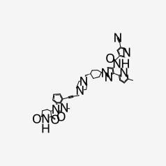 Cc1ccc(-c2nn([C@H]3CC[C@H](CN4CCN(CC#Cc5cccc6c5n(C)c(=O)n6C5CCC(=O)NC5=O)CC4)CC3)cc2NC(=O)c2cncc(C#N)c2)nc1